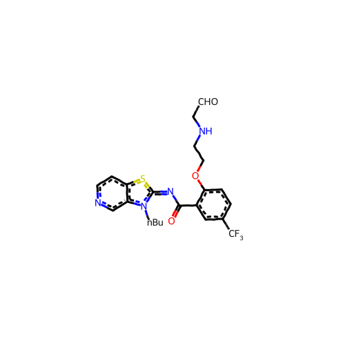 CCCCn1c(=NC(=O)c2cc(C(F)(F)F)ccc2OCCNCC=O)sc2ccncc21